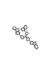 c1cc(-c2ccc3c(c2)sc2ccccc23)cc(N(c2ccc(-c3ccc4c(c3)sc3ccccc34)cc2)c2cccc(-c3cccc4ccccc34)c2)c1